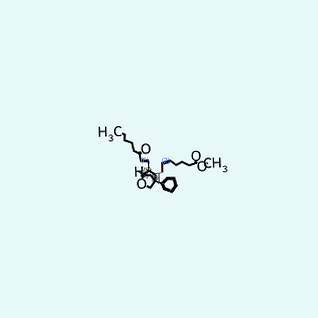 CCCCCC(=O)/C=C/[C@@H]1[C@@H]2C[C@@](c3ccccc3)(CO2)[C@H]1C/C=C\CCCC(=O)OC